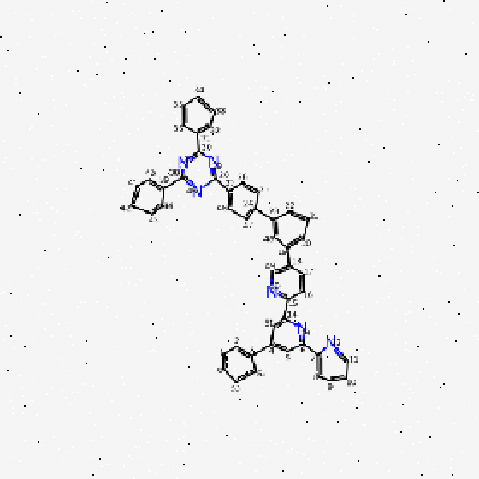 c1ccc(-c2cc(-c3ccccn3)nc(-c3ccc(-c4cccc(-c5ccc(-c6nc(-c7ccccc7)nc(-c7ccccc7)n6)cc5)c4)cn3)c2)cc1